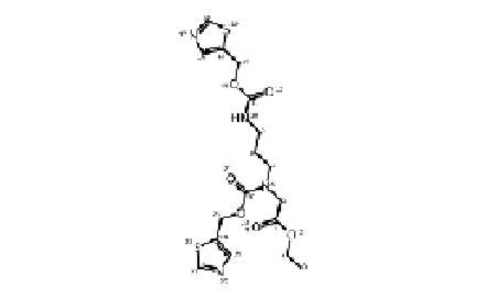 CCOC(=O)CN(CCCNC(=O)OCc1cncs1)C(=O)OCc1cncs1